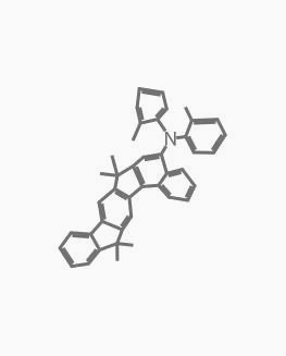 Cc1ccccc1N(c1ccccc1C)c1cc2c(c3ccccc13)-c1cc3c(cc1C2(C)C)-c1ccccc1C3(C)C